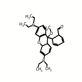 CCN(CC)C1=CC2Oc3cc(N(CC)CC)ccc3C(OC)(C3C=CC=CC3C=O)C2C=C1